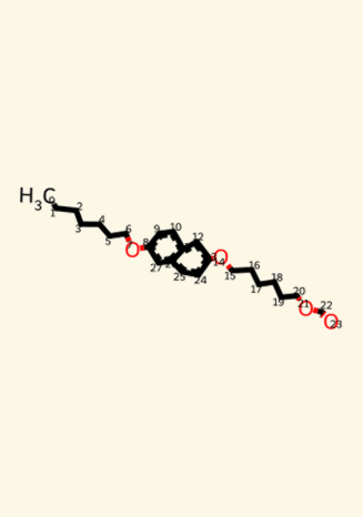 CCCCCCCOc1ccc2cc(OCCCCCCOC=O)ccc2c1